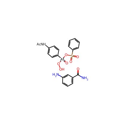 CC(=O)Nc1ccc([As](=O)(OO)OS(=O)(=O)c2ccccc2)cc1.NC(=O)c1cccc(N)c1